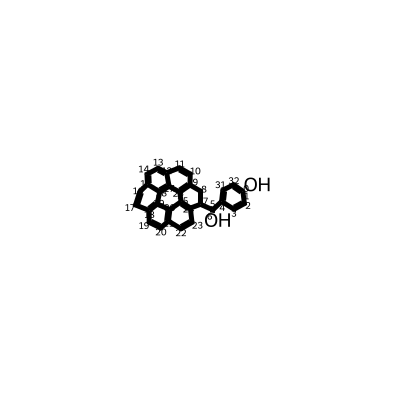 Oc1ccc(C(O)C2Cc3ccc4ccc5ccc6ccc7ccc2c2c3c4c5c6c72)cc1